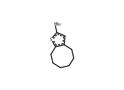 CC(C)(C)c1cc2c(s1)CCCCCC2